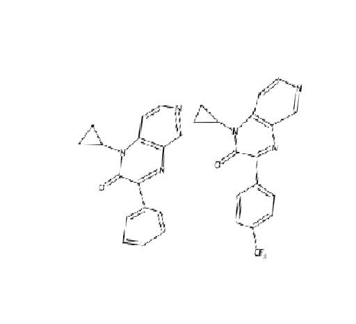 O=c1c(-c2ccc(C(F)(F)F)cc2)nc2cnccc2n1C1CC1.O=c1c(-c2ccccc2)nc2cnccc2n1C1CC1